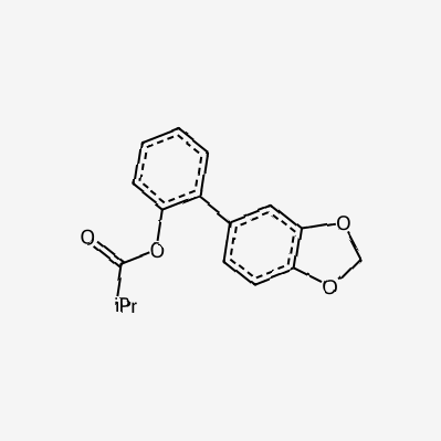 CC(C)C(=O)Oc1ccccc1-c1ccc2c(c1)OCO2